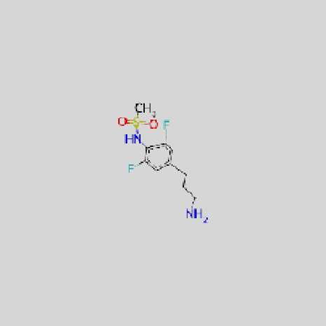 CS(=O)(=O)Nc1c(F)cc(CCCN)cc1F